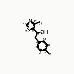 Cc1ccc(CC(O)c2scnc2C)cc1